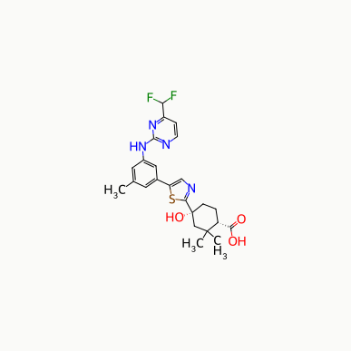 Cc1cc(Nc2nccc(C(F)F)n2)cc(-c2cnc([C@@]3(O)CC[C@H](C(=O)O)C(C)(C)C3)s2)c1